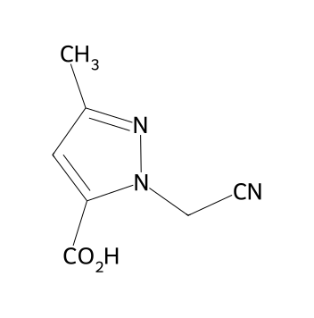 Cc1cc(C(=O)O)n(CC#N)n1